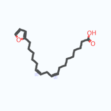 O=C(O)CCCCCCC/C=C\C/C=C\CCCCCc1ccco1